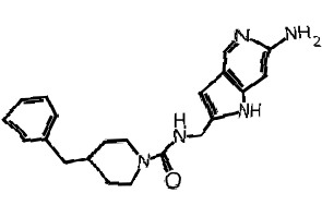 Nc1cc2[nH]c(CNC(=O)N3CCC(Cc4ccccc4)CC3)cc2cn1